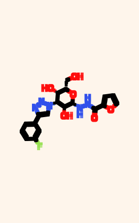 O=C(NN[C@H]1O[C@@H](CO)[C@@H](O)[C@@H](n2cc(-c3cccc(F)c3)nn2)[C@@H]1O)c1ccco1